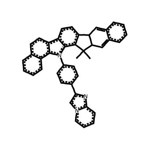 CC1(C)c2c(ccc3c4ccc5ccccc5c4n(-c4ccc(-c5cn6ccccc6n5)cc4)c23)C2C=c3ccccc3=CC21